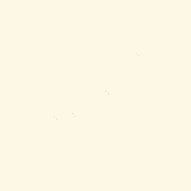 Cc1c(CN2CCN[C@@H](C)C2)cc(Cl)cc1NC(=O)c1cc(F)cc(C#N)c1